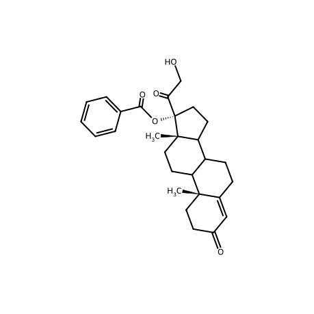 C[C@]12CCC(=O)C=C1CCC1C2CC[C@@]2(C)C1CC[C@]2(OC(=O)c1ccccc1)C(=O)CO